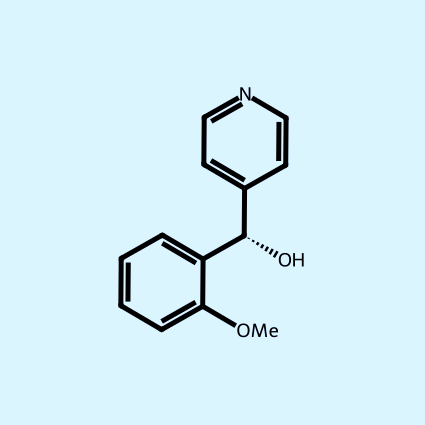 COc1ccccc1[C@@H](O)c1ccncc1